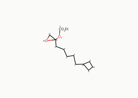 CCOC(=O)OC1(CCCCCC2CCC2)CO1